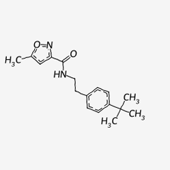 Cc1cc(C(=O)NCCc2ccc(C(C)(C)C)cc2)no1